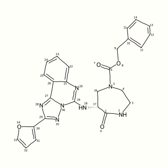 O=C1NCCN(C(=O)OCc2ccccc2)C[C@H]1Nc1nc2ccccc2c2nc(-c3ccco3)nn12